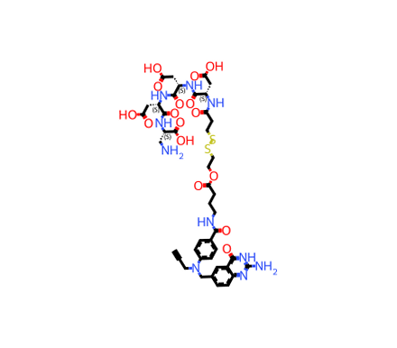 C#CCN(Cc1ccc2nc(N)[nH]c(=O)c2c1)c1ccc(C(=O)NCCCC(=O)OCCSSCCC(=O)N[C@@H](CC(=O)O)C(=O)N[C@@H](CC(=O)O)C(=O)N[C@@H](CC(=O)O)C(=O)N[C@@H](CN)C(=O)O)cc1